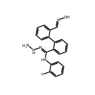 NN/N=C(\Nc1ccccc1F)c1ccccc1-c1ccccc1/C=N/O